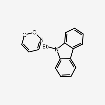 C1=COON=C1.CCn1c2ccccc2c2ccccc21